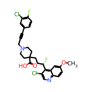 COc1ccc2ncc(Cl)c([C@@H](F)CCC3(C(=O)O)CCN(CC#Cc4ccc(F)c(Cl)c4)CC3)c2c1